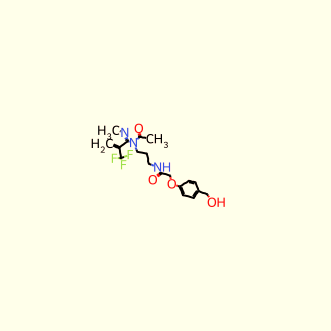 C=C(/C(=N\C)N(CCCNC(=O)COc1ccc(CO)cc1)C(C)=O)C(F)(F)F